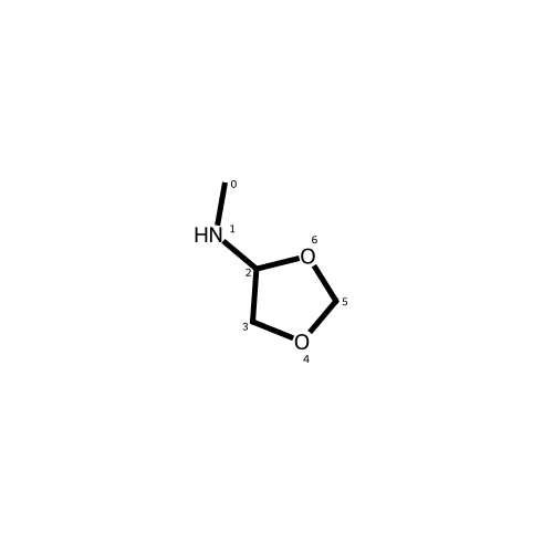 CNC1COCO1